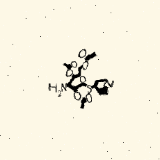 CC(=O)OCC1OC(Sc2ccncc2)C(OC(C)=O)C(N)C1OC(C)=O